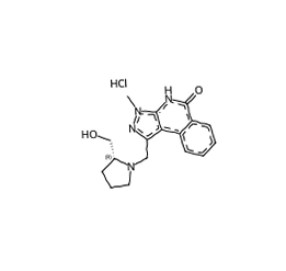 Cl.Cn1nc(CN2CCC[C@@H]2CO)c2c3ccccc3c(=O)[nH]c21